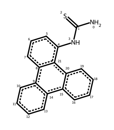 NC(=S)Nc1cccc2c3ccccc3c3ccccc3c12